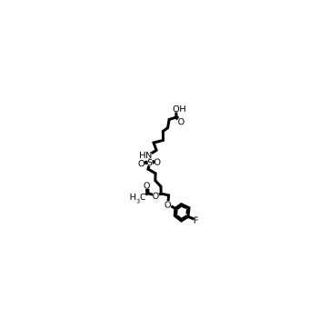 CC(=O)OC(CCCCS(=O)(=O)NCCCCCCC(=O)O)COc1ccc(F)cc1